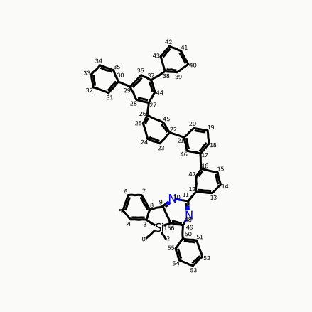 C[Si]1(C)c2ccccc2-c2nc(-c3cccc(-c4cccc(-c5cccc(-c6cc(-c7ccccc7)cc(-c7ccccc7)c6)c5)c4)c3)nc(-c3ccccc3)c21